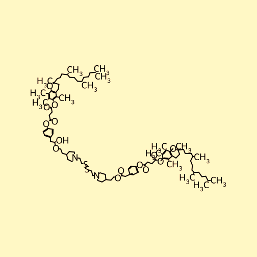 Cc1c(C)c2c(c(C)c1OC(=O)CCC(=O)Oc1ccc(CC(=O)OCCC3CCN(CCSSCCN4CCC(CCOC(O)Cc5ccc(OC(=O)CCC(=O)Oc6c(C)c(C)c7c(c6C)CCC(C)(CCCC(C)CCCC(C)CCCC(C)C)O7)cc5)CC4)CC3)cc1)CCC(C)(CCCC(C)CCCC(C)CCCC(C)C)O2